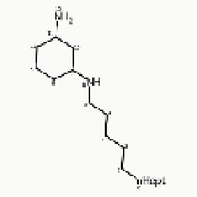 CCCCCCCCCCCCNC1CCCC(N)C1